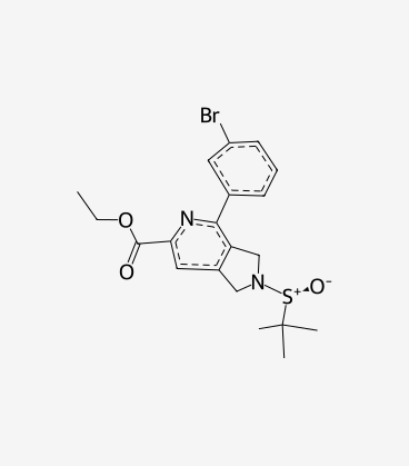 CCOC(=O)c1cc2c(c(-c3cccc(Br)c3)n1)CN([S@@+]([O-])C(C)(C)C)C2